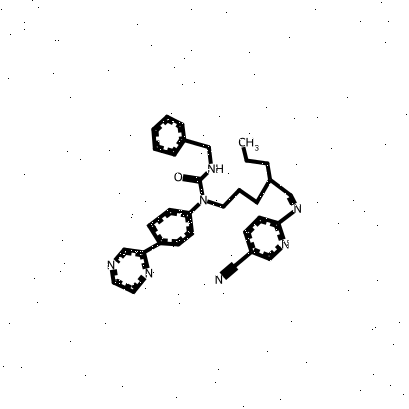 CCCC(/C=N\c1ccc(C#N)cn1)CCCN(C(=O)NCc1ccccc1)c1ccc(-c2cnccn2)cc1